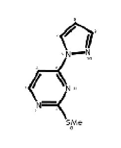 CSc1nccc(-n2cccn2)n1